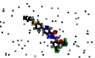 CCSc1ccc(-c2ccc(C(=O)NCc3ccc(Br)cc3OC(F)(F)F)cn2)cc1